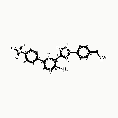 CCS(=O)(=O)c1ccc(-c2cnc(N)c(-c3nnc(-c4ccc(CNC)cc4)o3)n2)cc1